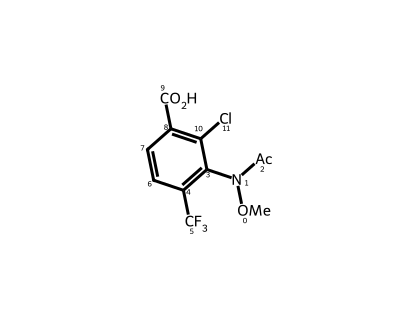 CON(C(C)=O)c1c(C(F)(F)F)ccc(C(=O)O)c1Cl